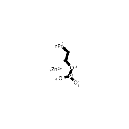 CCCCCOP([O-])[O-].[Zn+2]